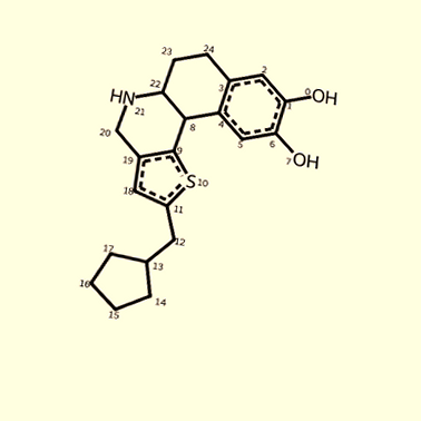 Oc1cc2c(cc1O)C1c3sc(CC4CCCC4)cc3CNC1CC2